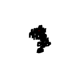 COc1nc2ccc(C(O)(c3ccnc(C(F)(F)F)c3)c3cncn3S(C)(=O)=O)cc2c(Cl)c1OCc1ccccc1